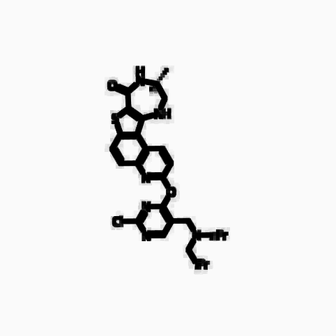 CCCN(Cc1cnc(Cl)nc1Oc1ccc2c(ccc3sc4c(c32)NC[C@@H](C)NC4=O)n1)CC(C)C